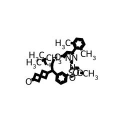 COCN1c2nc(cc(-c3c(C)cccc3C)n2)OC[C@@H](CC(C)(C)C)C(C2CC3(CC(=O)C3)C2)c2cccc(c2)S1(=O)=O